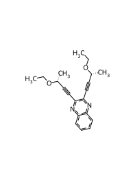 CCO[C@H](C)C#Cc1nc2ccccc2nc1C#C[C@@H](C)OCC